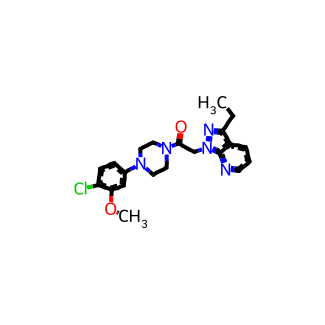 CCc1nn(CC(=O)N2CCN(c3ccc(Cl)c(OC)c3)CC2)c2ncccc12